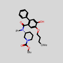 COCCCOc1cc(C(=O)N(C(C)C)[C@@H]2CCCN(C(=O)OC(C)(C)C)C2)c(-c2ccccc2)cc1O